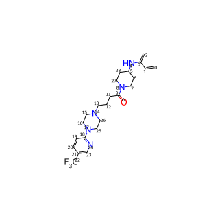 C=CC(=C)NC1CCN(C(=O)CCCN2CCN(c3ccc(C(F)(F)F)cn3)CC2)CC1